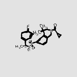 CCN([C@@H](C)c1ccc(F)cc1)S(=O)(=O)c1ccc2c(c1)C(C)(C)CN(C(=O)C1CC1)C2